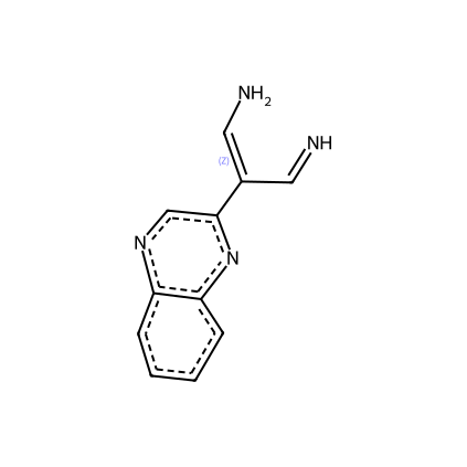 N=C/C(=C\N)c1cnc2ccccc2n1